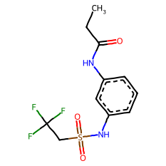 CCC(=O)Nc1cccc(NS(=O)(=O)CC(F)(F)F)c1